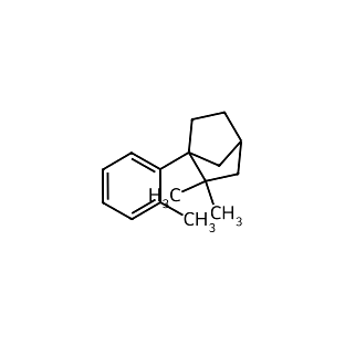 Cc1ccccc1C12CCC(CC1(C)C)C2